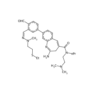 CCCN(CCN(C)C)C(=O)C1=Cc2ccc(-c3ccc(C=O)c(/C=N\N(C)CCSCC)c3)cc2N=C(N)C1